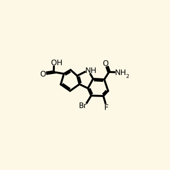 NC(=O)c1cc(F)c(Br)c2c1[nH]c1cc(C(=O)O)ccc12